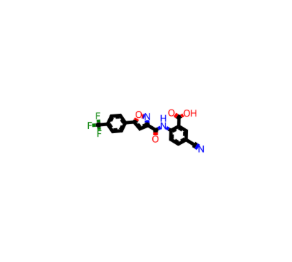 N#Cc1ccc(NC(=O)c2cc(-c3ccc(C(F)(F)F)cc3)on2)c(C(=O)O)c1